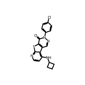 O=c1c2sc3nccc(NC4CCC4)c3c2cnn1-c1ccc(Cl)cc1